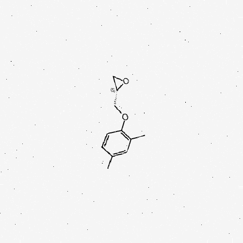 Cc1ccc(OC[C@@H]2CO2)c(C)c1